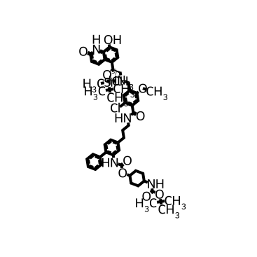 COc1cc(C(=O)NCCCc2ccc(-c3ccccc3)c(NC(=O)OC3CCC(NC(=O)OC(C)(C)C)CC3)c2)c(Cl)cc1CNC[C@@H](O[Si](C)(C)C(C)(C)C)c1ccc(O)c2[nH]c(=O)ccc12